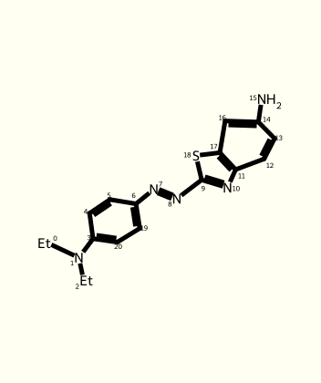 CCN(CC)c1ccc(N=Nc2nc3ccc(N)cc3s2)cc1